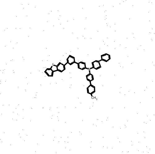 Cc1ccc(-c2ccc(N(c3ccc(-c4ccccc4)cc3)c3ccc(-c4cccc(-c5ccc6c(c5)sc5ccccc56)c4)cc3)cc2)cc1